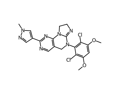 COc1cc(OC)c(Cl)c(N2Cc3cnc(-c4cnn(C)c4)nc3N3CCN=C32)c1Cl